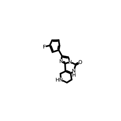 O=c1[nH]c2c(c3nc(-c4cccc(F)c4)cn13)CNCC2